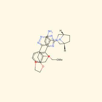 COCOc1ccccc1-c1cc(N2C[C@H]3CC[C@@H](C2)N3c2nccc(C3=CCC4(CC3)OCCO4)n2)c(N)nn1